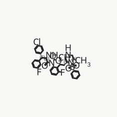 COC(=O)N(C(=O)[C@@H](N)[C@@H](c1ccc(Cl)cc1)c1cccc(F)c1)c1cccc(F)c1CC[C@H]1CNC[C@@H](C)N1S(=O)(=O)c1ccccc1